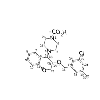 O=C(O)N1CCN([C@@H]2c3ccccc3OC[C@H]2OCc2cc(F)cc(Cl)c2)CC1